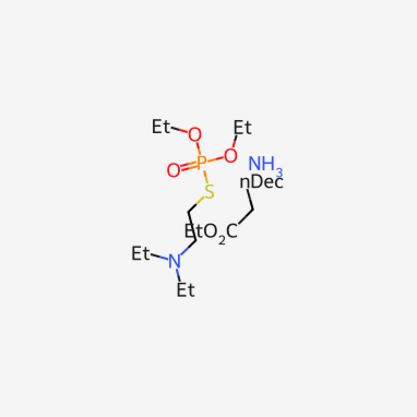 CCCCCCCCCCCC(=O)OCC.CCOP(=O)(OCC)SCCN(CC)CC.N